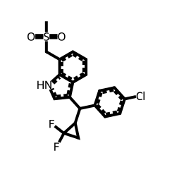 CS(=O)(=O)Cc1cccc2c(C(c3ccc(Cl)cc3)C3CC3(F)F)c[nH]c12